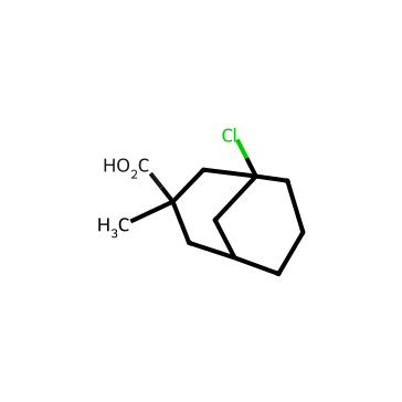 CC1(C(=O)O)CC2CCCC(Cl)(C2)C1